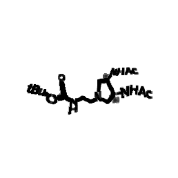 CC(=O)N[C@@H]1CN(CCNC(=O)OC(C)(C)C)C[C@H]1NC(C)=O